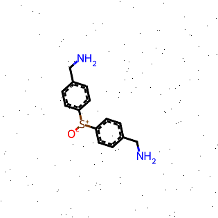 NCc1ccc([S+]([O-])c2ccc(CN)cc2)cc1